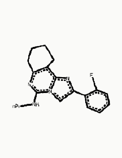 CCCNc1nc2c(c3nc(-c4ccccc4F)cn13)CCCC2